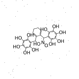 O=NC(C1=CCCC=C1C(O)c1c(O)c(O)c(O)c(O)c1O)c1c(O)c(O)c(O)c(O)c1O